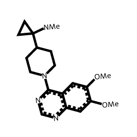 CNC1(C2CCN(c3ncnc4cc(OC)c(OC)cc34)CC2)CC1